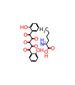 CCCC[C@H](N)C(=O)O.O=C(C(=O)C(=O)c1ccccc1O)C(=O)C(=O)c1ccccc1O